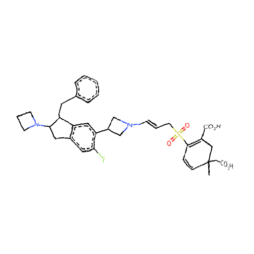 CC1(C(=O)O)C=CC(S(=O)(=O)CC=CN2CC(c3cc4c(cc3F)CC(N3CCC3)C4Cc3ccccc3)C2)=C(C(=O)O)C1